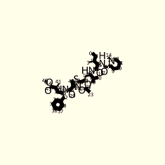 CC[C@H](C)[C@H](NC(=O)[C@H]1CCCCN1C)C(=O)N[C@H](C[C@@H](OC(C)=O)c1nc(C(=O)N[C@@H](Cc2ccccc2)C[C@H](C)C(=O)OC)cs1)C(C)C